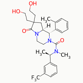 Cc1ccccc1[C@H]1[C@@H]2CC(CCO)(CCO)C(=O)N2CCN1C(=O)N(C)[C@H](C)c1cccc(C(F)(F)F)c1